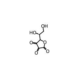 O=C1OC([C@@H](O)CO)C(=O)C1=O